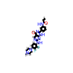 C=CC(=O)Nc1cccc(-c2nc(=O)c3cnc(Nc4ccc(N5CCN(C)CC5)c(F)c4F)nc3[nH]2)c1